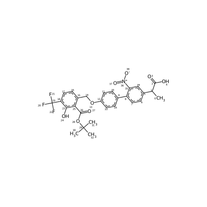 CC(C(=O)O)c1ccc(-c2ccc(OCc3ccc(C(F)(F)F)c(O)c3C(=O)OC(C)(C)C)cc2)c([N+](=O)[O-])c1